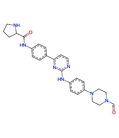 O=CN1CCN(c2ccc(Nc3nccc(-c4ccc(NC(=O)C5CCCN5)cc4)n3)cc2)CC1